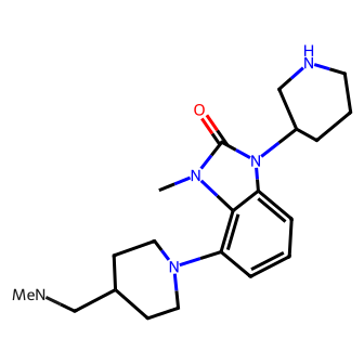 CNCC1CCN(c2cccc3c2n(C)c(=O)n3C2CCCNC2)CC1